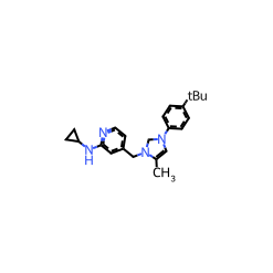 CC1=CN(c2ccc(C(C)(C)C)cc2)CN1Cc1ccnc(NC2CC2)c1